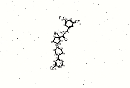 CC(C)[C@]1(C(=O)NCc2cc(C(F)(F)F)cc(C(F)(F)F)c2)CC[C@@H](N2CCC(c3cc(Cl)ncn3)CC2)C1